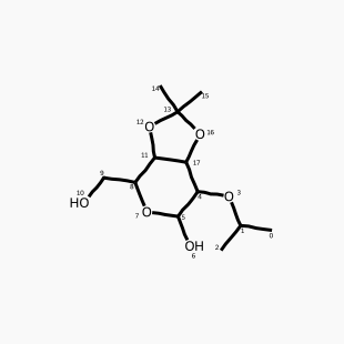 CC(C)OC1C(O)OC(CO)C2OC(C)(C)OC12